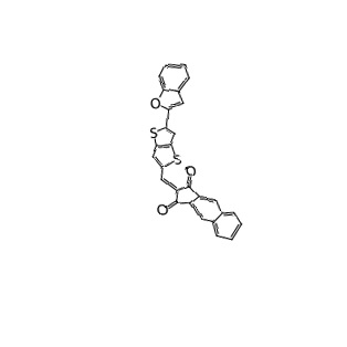 O=C1C(=Cc2cc3sc(-c4cc5ccccc5o4)cc3s2)C(=O)c2cc3ccccc3cc21